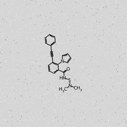 CN(C)SNC(=O)c1cccc(C#Cc2ccccc2)c1-n1cccc1